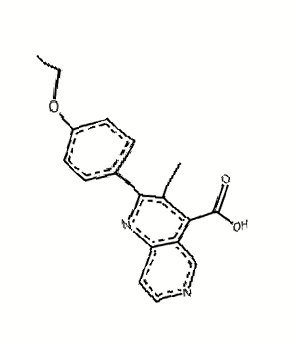 CCOc1ccc(-c2nc3ccncc3c(C(=O)O)c2C)cc1